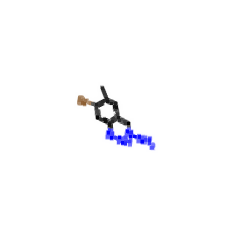 Cc1cc2c(cc1Br)=NNN(N)C=2